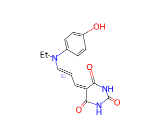 CCN(/C=C/C=C1C(=O)NC(=O)NC1=O)c1ccc(O)cc1